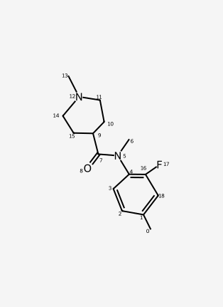 Cc1ccc(N(C)C(=O)C2CCN(C)CC2)c(F)c1